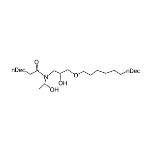 CCCCCCCCCCCCCCCCOCC(O)CN(C(=O)CCCCCCCCCCC)C(C)O